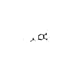 C=CC(=O)Oc1ccc2c(c1)C(=O)OC2=O